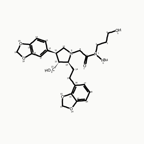 CCCCN(CCCO)C(=O)CN1C[C@H](c2ccc3c(c2)OCO3)[C@@H](C(=O)O)[C@@H]1CCc1cccc2c1OCO2